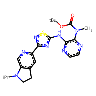 CC(C)N1CCc2cc(-c3nsc(Nc4nccnc4N(C)C(=O)OC(C)(C)C)n3)ncc21